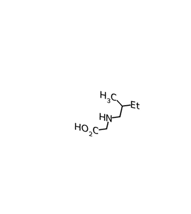 CCC(C)CNCC(=O)O